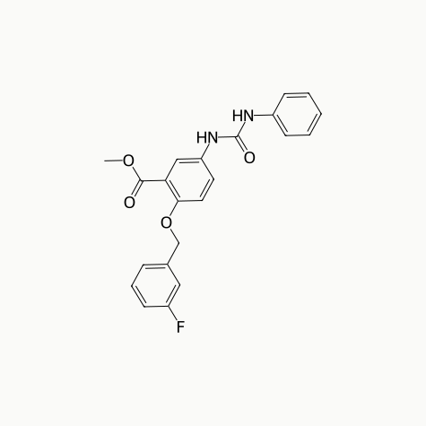 COC(=O)c1cc(NC(=O)Nc2ccccc2)ccc1OCc1cccc(F)c1